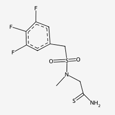 CN(CC(N)=S)S(=O)(=O)Cc1cc(F)c(F)c(F)c1